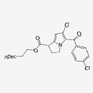 CCCCCCCCCCCCOC(=O)C1CCn2c1cc(Cl)c2C(=O)c1ccc(Cl)cc1